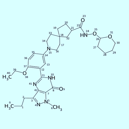 CCCc1nn(C)c2c(=O)[nH]c(-c3cc(N4CCC5(CCC(C(=O)NOC6CCCCO6)C5)CC4)ccc3OCC)nc12